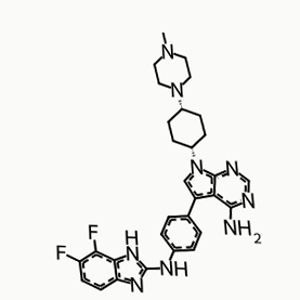 CN1CCN([C@H]2CC[C@@H](n3cc(-c4ccc(Nc5nc6ccc(F)c(F)c6[nH]5)cc4)c4c(N)ncnc43)CC2)CC1